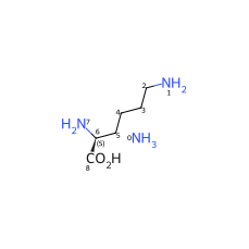 N.NCCCC[C@H](N)C(=O)O